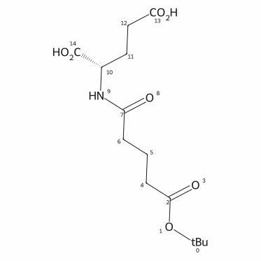 CC(C)(C)OC(=O)CCCC(=O)N[C@@H](CCC(=O)O)C(=O)O